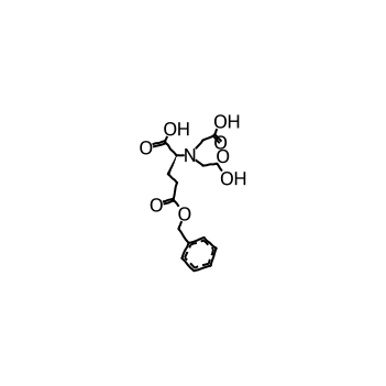 O=C(O)CN(CC(=O)O)[C@@H](CCC(=O)OCc1ccccc1)C(=O)O